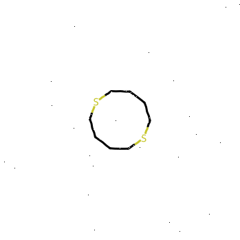 C1CCSCCCCSC1